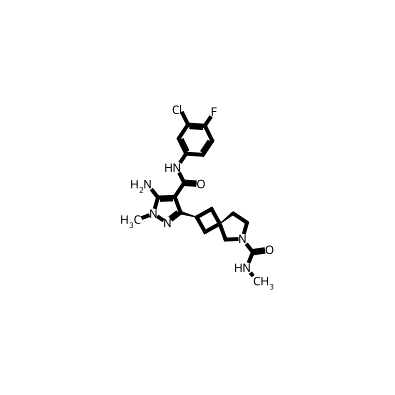 CNC(=O)N1CC[C@]2(C1)C[C@H](c1nn(C)c(N)c1C(=O)Nc1ccc(F)c(Cl)c1)C2